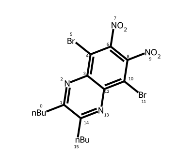 CCCCc1nc2c(Br)c([N+](=O)[O-])c([N+](=O)[O-])c(Br)c2nc1CCCC